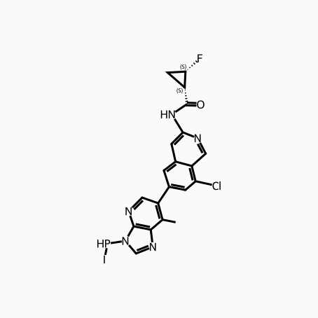 Cc1c(-c2cc(Cl)c3cnc(NC(=O)[C@@H]4C[C@@H]4F)cc3c2)cnc2c1ncn2PI